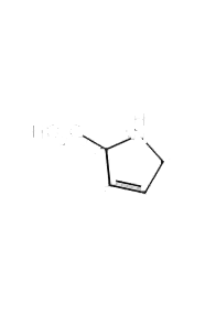 O=C(O)[C]1C=CCN1